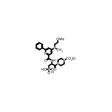 CCOC(=O)N1CCN(C(=O)C(CP(=O)(O)O)NC(=O)c2cc(N(C)CCOC)cc(-c3ccccc3)n2)CC1